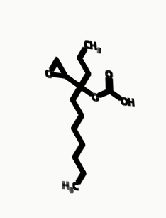 CCCCCCCC(CCC)(OC(=O)O)C1CO1